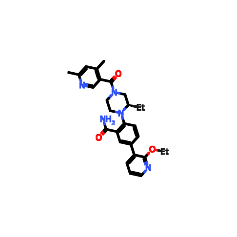 CCOc1ncccc1-c1ccc(N2CCN(C(=O)c3cnc(C)cc3C)C[C@H]2CC)c(C(N)=O)c1